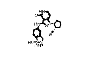 CN1Cc2cc(Nc3nn([C@H]4CCC[C@@H]4C#N)c4cc[nH]c(=O)c34)ccc2S1(O)O